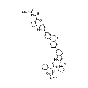 COC(=O)NC(C(=O)N1CCC[C@H]1c1ncc(-c2ccc3c(c2)COc2cc(-c4ccc5nc([C@@H]6[C@H]7CC[C@H](C7)N6C(=O)[C@H](NC(=O)OC)c6ccccc6)[nH]c5c4)ccc2-3)[nH]1)C(C)C